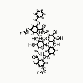 CCCOc1cc(C)c(C(=O)NC[C@H]2O[C@H](O[C@H]3O[C@H](CNC(=O)c4c(C)cc(OCCC)cc4OCc4ccccc4)[C@@H](O)[C@H](O)[C@H]3O)[C@H](O)[C@@H](O)[C@@H]2O)c(OCc2ccccc2)c1